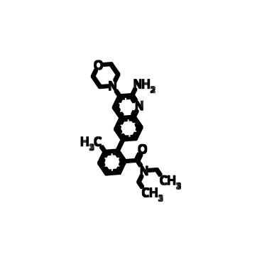 CCN(CC)C(=O)c1cccc(C)c1-c1ccc2nc(N)c(N3CCOCC3)cc2c1